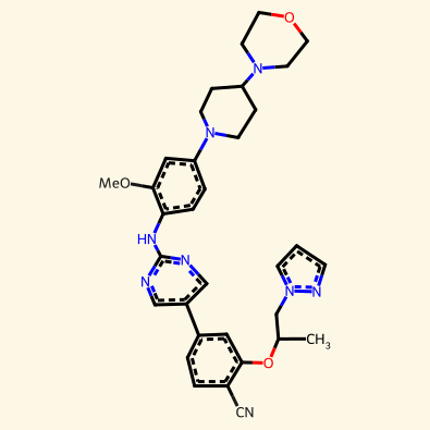 COc1cc(N2CCC(N3CCOCC3)CC2)ccc1Nc1ncc(-c2ccc(C#N)c(OC(C)Cn3cccn3)c2)cn1